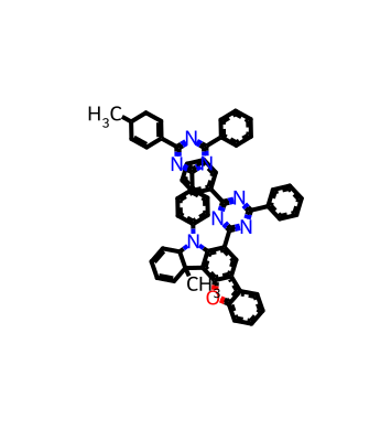 CC1C=CC(c2nc(-c3ccccc3)nc(-c3ccc(N4c5c(-c6nc(-c7ccccc7)nc(-c7ccccc7)n6)cc6c(oc7ccccc76)c5C5(C)C=CC=CC45)cc3)n2)=CC1